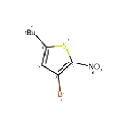 CC(C)(C)c1cc(Br)c([N+](=O)[O-])s1